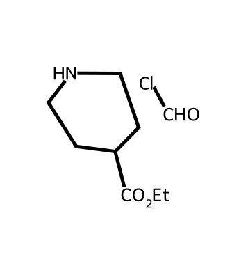 CCOC(=O)C1CCNCC1.O=CCl